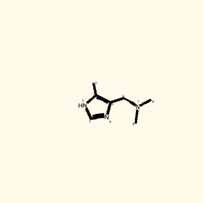 Cc1[nH]cnc1CN(C)C